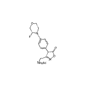 CC(=O)NCC1=NOC(=O)C1c1ccc(N2CCOCC2F)cc1